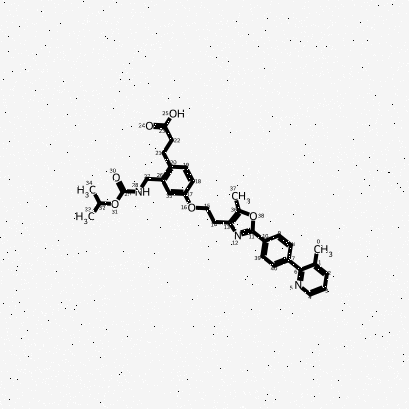 Cc1cccnc1-c1ccc(-c2nc(CCOc3ccc(CCC(=O)O)c(CNC(=O)OC(C)C)c3)c(C)o2)cc1